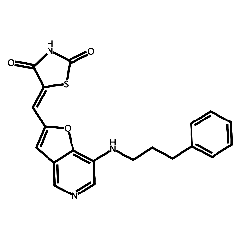 O=C1NC(=O)C(=Cc2cc3cncc(NCCCc4ccccc4)c3o2)S1